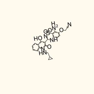 N#CCOc1ccc2c(c1N)S(=O)(=O)N=C(c1c(O)c3ccccc3n(NCC3CC3)c1=O)N2